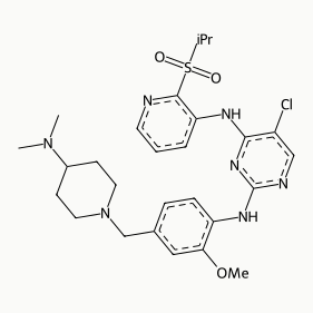 COc1cc(CN2CCC(N(C)C)CC2)ccc1Nc1ncc(Cl)c(Nc2cccnc2S(=O)(=O)C(C)C)n1